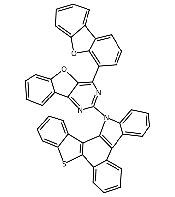 c1ccc2c(c1)oc1c(-c3nc(-n4c5ccccc5c5c6ccccc6c6sc7ccccc7c6c54)nc4c3oc3ccccc34)cccc12